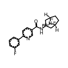 CCCN1[C@@H]2CC[C@H]1C[C@H](NC(=O)c1ccc(-c3cccc(F)c3)nc1)C2